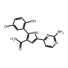 NC(=O)c1cc(-c2ccnc(N)n2)[nH]c1-c1cc(Cl)ccc1O